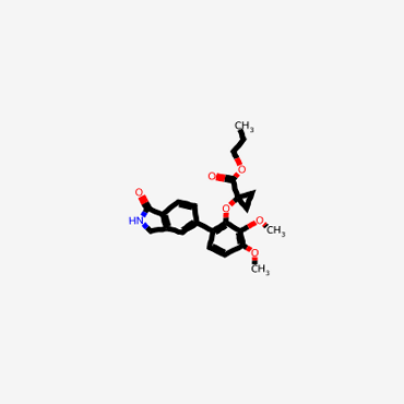 CCCOC(=O)C1(Oc2c(-c3ccc4c(c3)CNC4=O)ccc(OC)c2OC)CC1